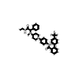 CCNC(=O)C(c1ccccc1)N(C)C1CCN(c2ccc(NC(=O)c3ccccc3-c3ccc(C(F)(F)F)cc3)cc2)CC1